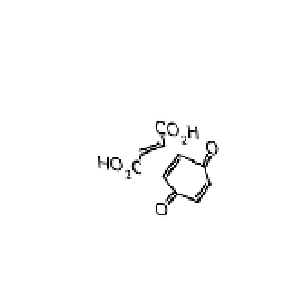 O=C(O)C=CC(=O)O.O=C1C=CC(=O)C=C1